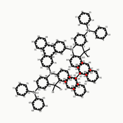 CC1(C)c2cc(N(c3ccccc3)c3ccccc3)ccc2N(c2ccc3c4ccccc4c4ccc(N5c6ccc(N(c7ccccc7)c7ccccc7)cc6C(C)(C)c6cc(N(c7ccccc7)c7ccccc7)ccc65)cc4c3c2)c2ccc(N(c3ccccc3)c3ccccc3)cc21